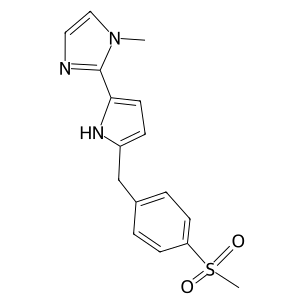 Cn1ccnc1-c1ccc(Cc2ccc(S(C)(=O)=O)cc2)[nH]1